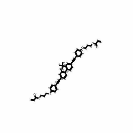 C=CC(=O)OCCCOc1ccc(C#Cc2ccc(-c3ccc(C#Cc4ccc(OCCCOC(=O)C=C)cc4)cc3C(C)(C)C)c(C)c2)cc1